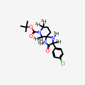 [2H]N1C(=O)C([2H])(c2ccc(Cl)cc2)N([2H])C12CCC([2H])([2H])N(C(=O)OC(C)(C)C)C2([2H])[2H]